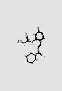 Cc1ccc(/C=C/C(=O)N2CCCCC2)c(OC(=O)OC(C)(C)C)c1